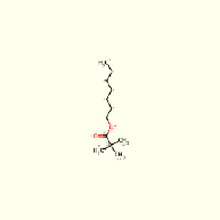 CCCCCC[CH]OC(=O)C(C)(C)C